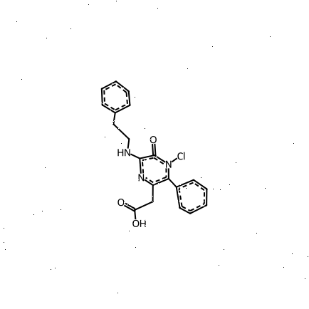 O=C(O)Cc1nc(NCCc2ccccc2)c(=O)n(Cl)c1-c1ccccc1